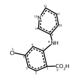 O=C(O)c1ccc(Cl)cc1Nc1cccnc1